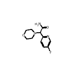 NC(=O)C(c1ccc(F)cn1)N1CCOCC1